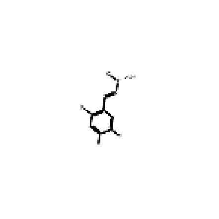 CC(C)(C)[S@@+]([O-])N=Cc1cc(F)c(F)cc1F